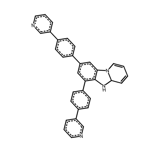 C1=CC2Nc3c(-c4ccc(-c5cccnc5)cc4)cc(-c4ccc(-c5cccnc5)cc4)cc3N2C=C1